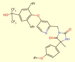 CCCc1cc(C(O)(C(F)(F)F)C(F)(F)F)cc(CCC)c1Oc1ccnc(CN2C(=O)NC(C)(c3ccc(OC(C)C)cc3)C2=O)c1